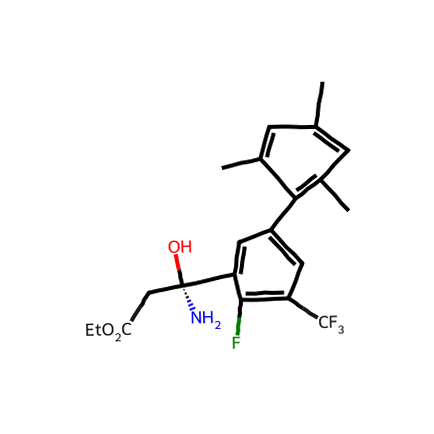 CCOC(=O)C[C@@](N)(O)c1cc(-c2c(C)cc(C)cc2C)cc(C(F)(F)F)c1F